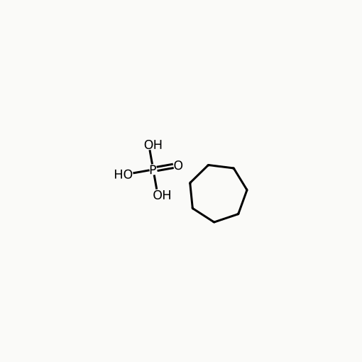 C1CCCCCC1.O=P(O)(O)O